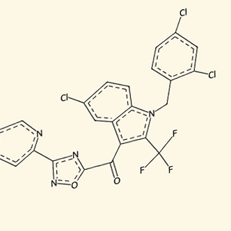 O=C(c1nc(-c2ccccn2)no1)c1c(C(F)(F)F)n(Cc2ccc(Cl)cc2Cl)c2ccc(Cl)cc12